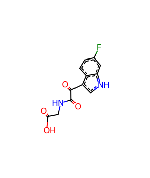 O=C(O)CNC(=O)C(=O)c1c[nH]c2cc(F)ccc12